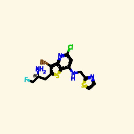 N[C@H](CF)Cc1sc2c(NCc3nccs3)cc(Cl)nc2c1Br